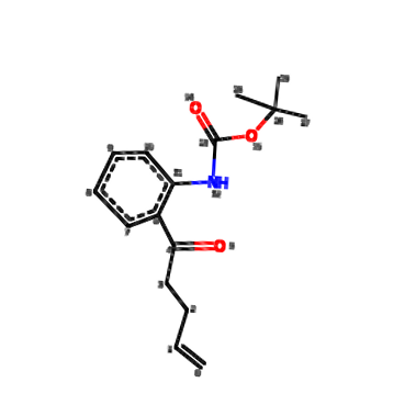 C=CCCC(=O)c1ccccc1NC(=O)OC(C)(C)C